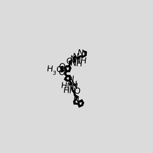 CS(=O)(=O)c1cc(C(=O)Nc2nnc(-c3ccccn3)[nH]2)ccc1Cc1ccc(-c2nnc(NC(=O)CCn3ccc4ccccc43)[nH]2)nc1